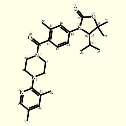 Cc1cnc(N2CCN(C(=O)c3ccc(N4C(=O)OC(C)(C)[C@H]4C(C)C)cc3C)CC2)c(C)c1